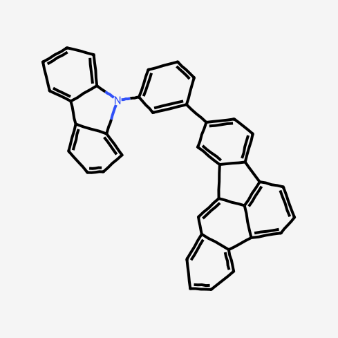 c1cc(-c2ccc3c(c2)-c2cc4ccccc4c4cccc-3c24)cc(-n2c3ccccc3c3ccccc32)c1